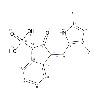 Cc1cc(C)c(/C=C2\C(=O)N(P(=O)(O)O)c3ccccc32)[nH]1